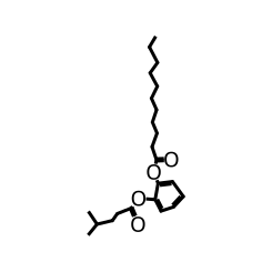 CCCCCCCCCCC(=O)Oc1ccccc1OC(=O)CCC(C)C